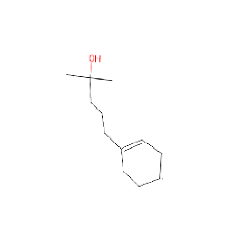 CC(C)(O)CCCC1=CC[CH]CC1